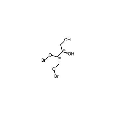 OC[C@@H](O)[C@H](COBr)OBr